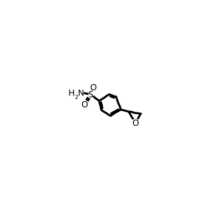 NS(=O)(=O)c1ccc(C2CO2)cc1